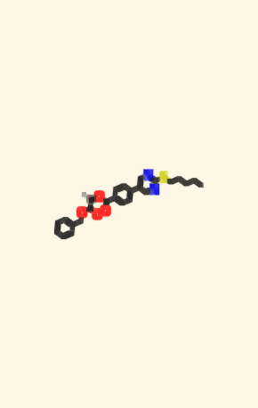 CCCCCSc1ncc(-c2ccc(C(=O)O[C@@H](C)C(=O)OCc3ccccc3)cc2)cn1